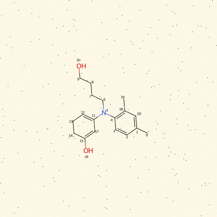 Cc1ccc(N(CCCCO)C2=CCCC(O)=C2)c(C)c1